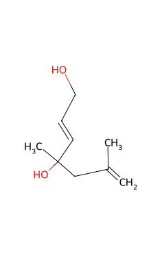 C=C(C)CC(C)(O)C=CCO